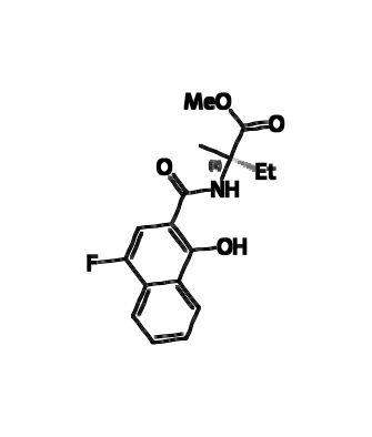 CC[C@@](C)(NC(=O)c1cc(F)c2ccccc2c1O)C(=O)OC